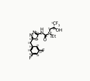 CCN(C[C@@H](O)C(F)(F)F)C(=O)Nc1nnc(Cc2cc(F)cc(F)c2)s1